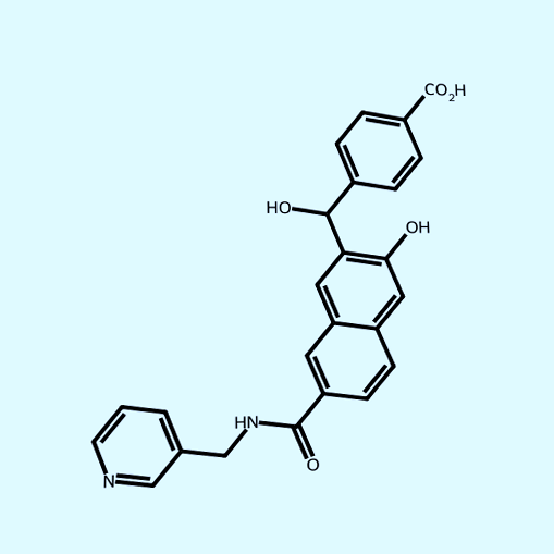 O=C(O)c1ccc(C(O)c2cc3cc(C(=O)NCc4cccnc4)ccc3cc2O)cc1